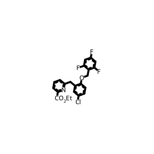 CCOC(=O)c1cccc(Cc2cc(Cl)ccc2OCc2c(F)cc(F)cc2F)n1